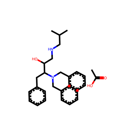 CC(=O)O.CC(C)CNCC(O)C(Cc1ccccc1)N(Cc1ccccc1)Cc1ccccc1